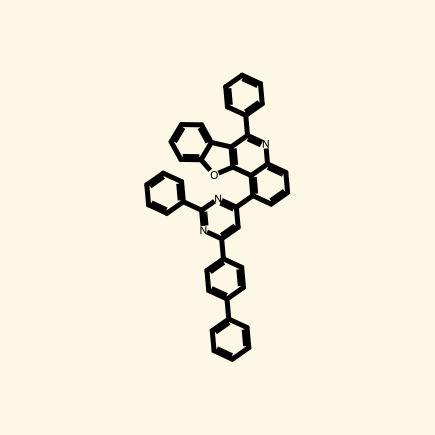 c1ccc(-c2ccc(-c3cc(-c4cccc5nc(-c6ccccc6)c6c7ccccc7oc6c45)nc(-c4ccccc4)n3)cc2)cc1